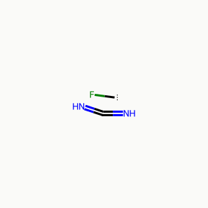 N=C=N.[C]F